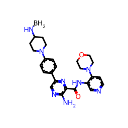 BNC1CCN(c2ccc(-c3cnc(N)c(C(=O)Nc4cnccc4N4CCOCC4)n3)cc2)CC1